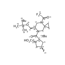 CC(C)(C)[C@]1(C(=O)N2CC3(CC3)N(C(=O)C(F)(F)F)C[C@@H]2CO[Si](C)(C)C(C)(C)C)C[C@@H](F)CN1C(=O)O